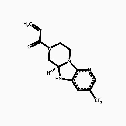 C=CC(=O)N1CCN2c3ncc(C(F)(F)F)cc3N[C@H]2C1